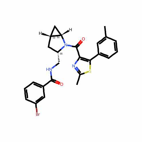 Cc1cccc(-c2sc(C)nc2C(=O)N2[C@H](CNC(=O)c3cccc(Br)c3)C[C@@H]3C[C@@H]32)c1